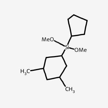 CO[Si](OC)(C1CCCC1)C1CC(C)CC(C)C1